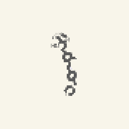 O=c1[nH]cnc(CCc2ccc(/C=C/c3ccc(CN4CCOCC4)cc3)c(F)c2)c1O